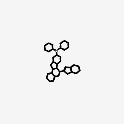 C1CCC(N(C2CCCCC2)C2CCC3C(CC4C5CCCCC5CC(C5CC6CCCCC6C5)C34)C2)CC1